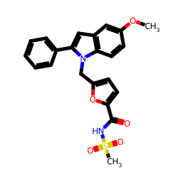 COc1ccc2c(c1)cc(-c1ccccc1)n2Cc1ccc(C(=O)NS(C)(=O)=O)o1